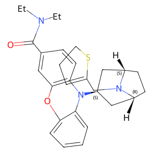 CCN(CC)C(=O)c1ccc2c(c1)Oc1ccccc1N2[C@@H]1C[C@H]2CC[C@@H](C1)N2CC1=CCCS1